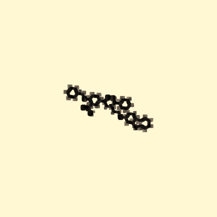 O=C(CN(CCOc1ccc2c(c1)sc1ccccc12)C(=O)c1ccccc1)c1ccc(OCc2ccccc2)c([N+](=O)[O-])c1